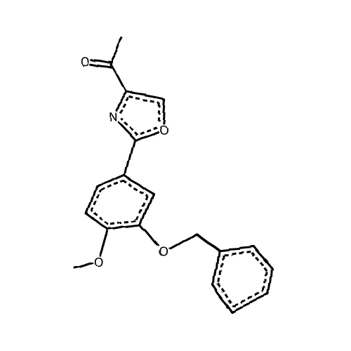 COc1ccc(-c2nc(C(C)=O)co2)cc1OCc1ccccc1